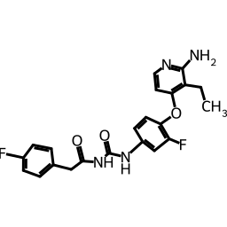 CCc1c(Oc2ccc(NC(=O)NC(=O)Cc3ccc(F)cc3)cc2F)ccnc1N